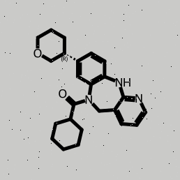 O=C(C1CCCCC1)N1Cc2cccnc2Nc2ccc([C@H]3CCCOC3)cc21